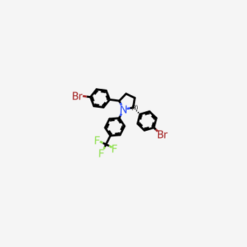 FC(F)(F)c1ccc(N2C(c3ccc(Br)cc3)CC[C@@H]2c2ccc(Br)cc2)cc1